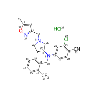 Cc1cc(CN2CC[C@H](N(Cc3ccccc3C(F)(F)F)c3ccc(C#N)c(Cl)c3)C2)no1.Cl